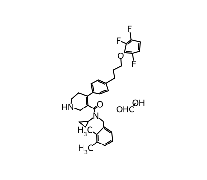 Cc1cccc(CN(C(=O)C2=C(c3ccc(CCCOc4c(F)ccc(F)c4F)cc3)CCNC2)C2CC2)c1C.O=CO